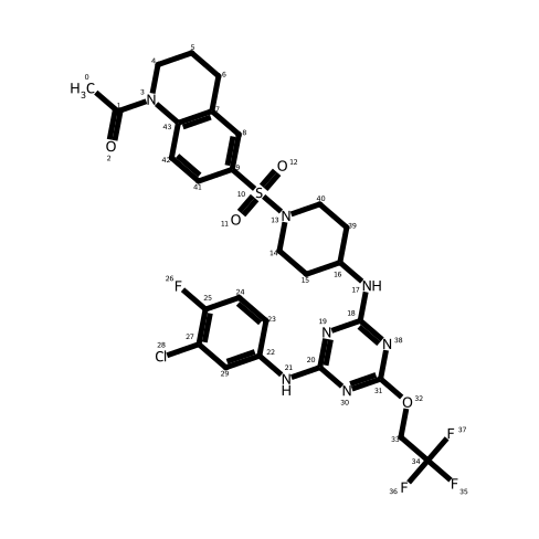 CC(=O)N1CCCc2cc(S(=O)(=O)N3CCC(Nc4nc(Nc5ccc(F)c(Cl)c5)nc(OCC(F)(F)F)n4)CC3)ccc21